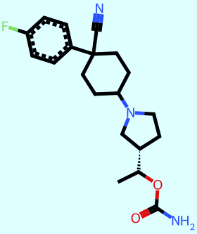 CC(OC(N)=O)[C@H]1CCN(C2CCC(C#N)(c3ccc(F)cc3)CC2)C1